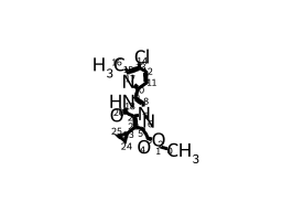 CCOC(=O)c1nn2cc(-c3ccc(Cl)c(C)n3)[nH]c(=O)c2c1C1CC1